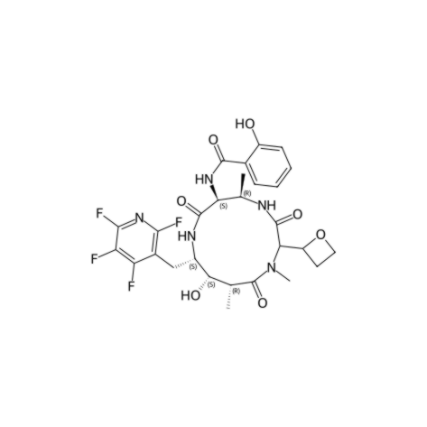 C[C@H]1NC(=O)C(C2CCO2)N(C)C(=O)[C@H](C)[C@H](O)[C@H](Cc2c(F)nc(F)c(F)c2F)NC(=O)[C@H]1NC(=O)c1ccccc1O